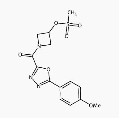 COc1ccc(-c2nnc(C(=O)N3CC(OS(C)(=O)=O)C3)o2)cc1